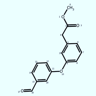 COC(=O)Cc1cccc(Oc2cccc(C=O)c2)c1